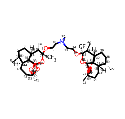 C[C@H]1CC[C@H]2[C@H](C)[C@@](OCCN(C)CCO[C@]3(C(F)(F)F)O[C@H]4O[C@]5(C)CC[C@H]6[C@@H](C)CC[C@@H]([C@@H]3C)[C@]46OO5)(C(F)(F)F)O[C@H]3O[C@]4(C)CC[C@@H]1[C@@]32OO4